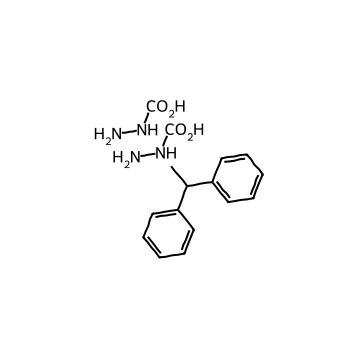 CC(c1ccccc1)c1ccccc1.NNC(=O)O.NNC(=O)O